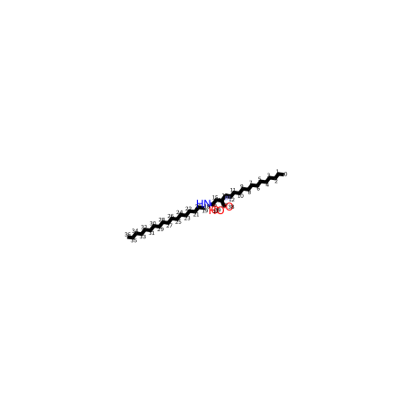 CCCCCCCCCCCC/C=C/C(CC(=O)NCCCCCCCCCCCCCCCCCC)C(=O)O